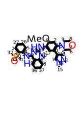 COc1cc(N2CCOCC2)c(-c2cnn(C)c2)cc1Nc1nc(Nc2ccccc2P(C)(C)=O)c2ccccc2n1